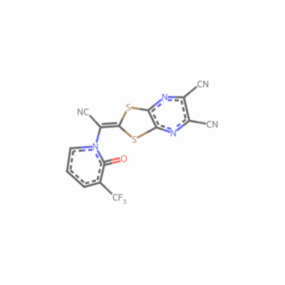 N#CC(=C1Sc2nc(C#N)c(C#N)nc2S1)n1cccc(C(F)(F)F)c1=O